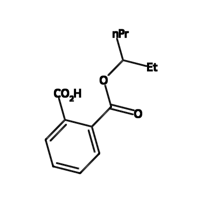 CCCC(CC)OC(=O)c1ccccc1C(=O)O